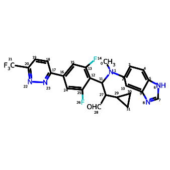 CN(c1ccc2[nH]cnc2c1)C(c1c(F)cc(-c2ccc(C(F)(F)F)nn2)cc1F)C(C=O)C1CC1